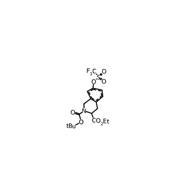 CCOC(=O)C1Cc2ccc(OS(=O)(=O)C(F)(F)F)cc2CN1C(=O)OC(C)(C)C